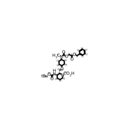 CN(C(=O)OCC(=O)OCc1ccccc1)C1CCC(OC[C@H]2[C@@H](NC(=O)OC(C)(C)C)CCCN2C(=O)O)CC1